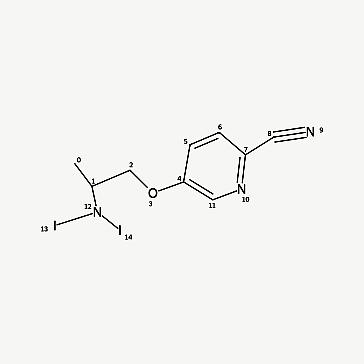 CC(COc1ccc(C#N)nc1)N(I)I